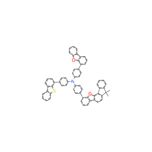 CC1(C)c2ccccc2-c2c1ccc1c2oc2c(-c3ccc(N(c4ccc(-c5cccc6c5oc5ccccc56)cc4)c4ccc(-c5cccc6c5sc5ccccc56)cc4)cc3)cccc21